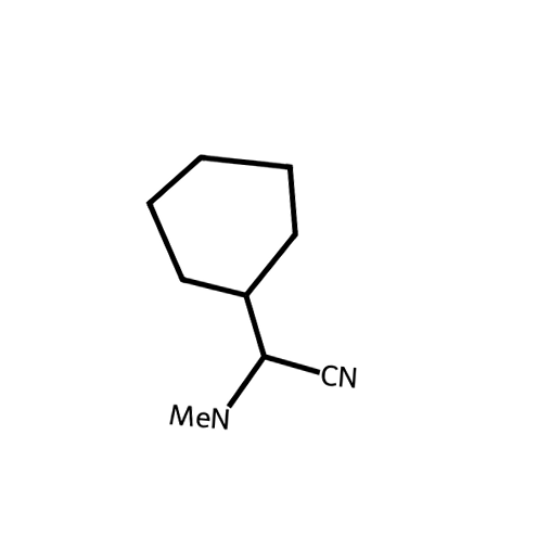 CNC(C#N)C1CCCCC1